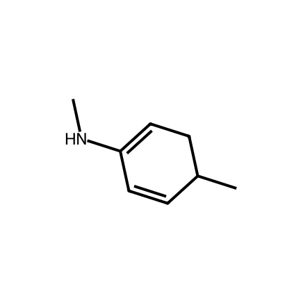 CNC1=CCC(C)C=C1